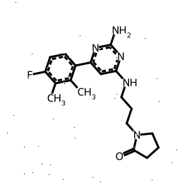 Cc1c(F)ccc(-c2cc(NCCCN3CCCC3=O)nc(N)n2)c1C